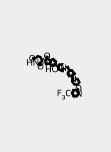 O=C1CCC(N2Cc3cc(C4(O)CCN(Cc5ccc(N6CCC(Oc7cc(C(F)(F)F)ccn7)CC6)cc5)CC4)ccc3C2=O)C(=O)N1